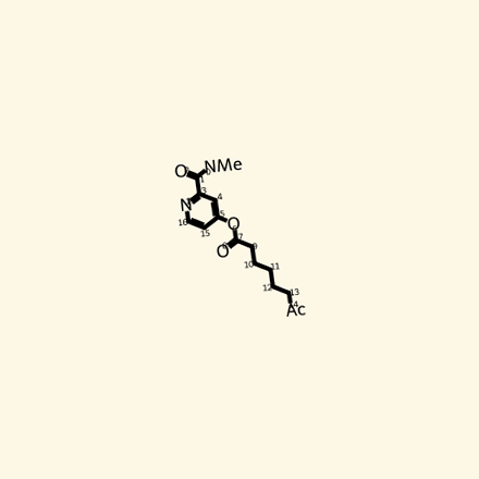 CNC(=O)c1cc(OC(=O)CCCCCC(C)=O)ccn1